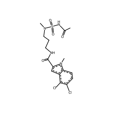 CC(=O)NS(=O)(=O)N(C)CCCNC(=O)c1cc2c(Cl)c(Cl)ccc2n1C